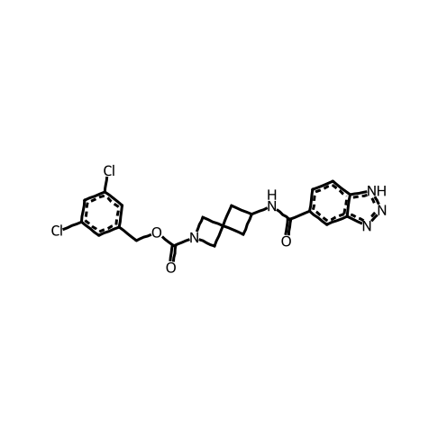 O=C(NC1CC2(C1)CN(C(=O)OCc1cc(Cl)cc(Cl)c1)C2)c1ccc2[nH]nnc2c1